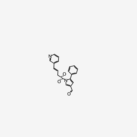 O=Cc1cc(-c2ccccc2)n(S(=O)(=O)CC=Cc2cccnc2)c1